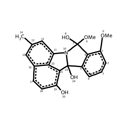 COc1cccc2c1C(O)(OC)N1c3cc(C)cc4ccc(O)c(c34)C21O